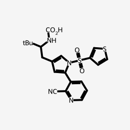 CC(C)(C)C(Cc1cc(-c2cccnc2C#N)n(S(=O)(=O)c2ccsc2)c1)NC(=O)O